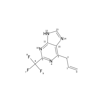 C=CCc1nc(C(F)(F)F)nc2[nH]cnc12